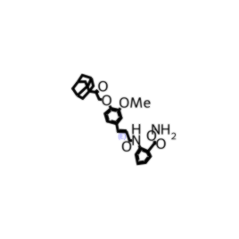 COc1cc(/C=C/C(=O)Nc2ccccc2C(=O)ON)ccc1OCC(=O)C12CC3CC(CC(C3)C1)C2